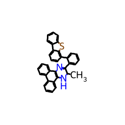 CC1Nc2c(c3ccccc3c3ccccc23)N=C1c1ccccc1-c1cccc2c1sc1ccccc12